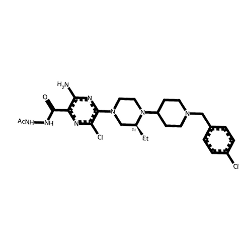 CC[C@H]1CN(c2nc(N)c(C(=O)NNC(C)=O)nc2Cl)CCN1C1CCN(Cc2ccc(Cl)cc2)CC1